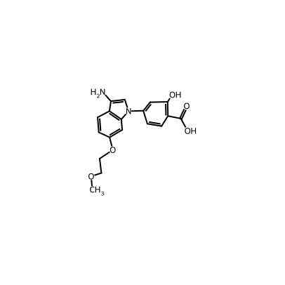 COCCOc1ccc2c(N)cn(-c3ccc(C(=O)O)c(O)c3)c2c1